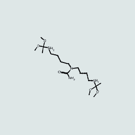 COC(C)(OC)[SiH2]CCCCN(CCCC[SiH2]C(C)(OC)OC)C(N)=O